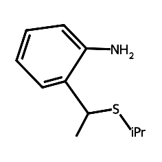 CC(C)SC(C)c1ccccc1N